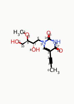 CC#Cc1cn(C[C@H](O)[C@@H](CO)OC)c(=O)[nH]c1=O